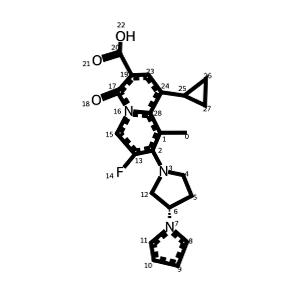 Cc1c(N2CC[C@H](n3cccc3)C2)c(F)cn2c(=O)c(C(=O)O)cc(C3CC3)c12